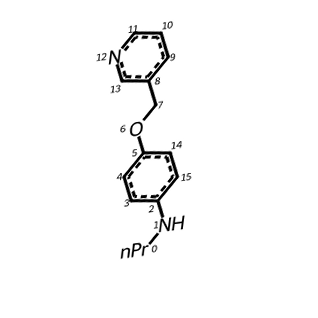 CCCNc1ccc(OCc2cccnc2)cc1